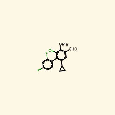 COc1c(C=O)cc(C2CC2)c(-c2ccc(F)cc2F)c1Cl